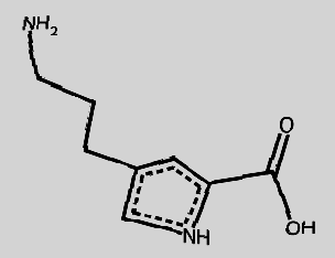 NCCCc1c[nH]c(C(=O)O)c1